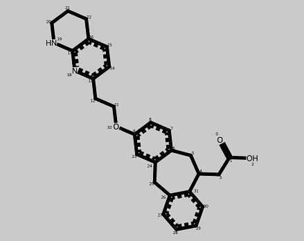 O=C(O)CC1Cc2ccc(OCCc3ccc4c(n3)NCCC4)cc2Cc2ccccc21